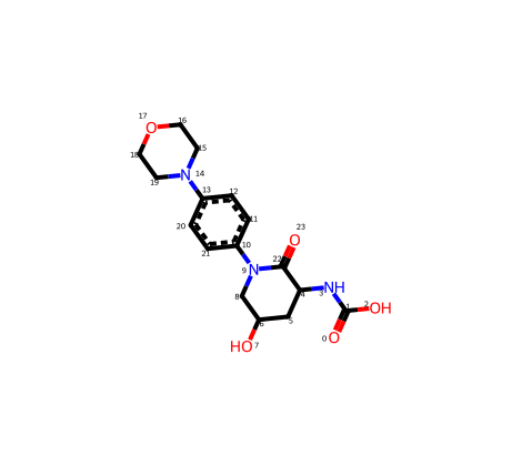 O=C(O)NC1CC(O)CN(c2ccc(N3CCOCC3)cc2)C1=O